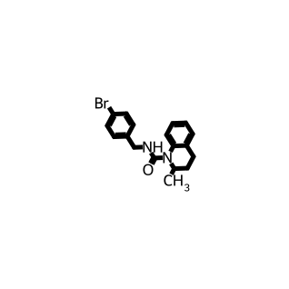 CC1CCc2ccccc2N1C(=O)NCc1ccc(Br)cc1